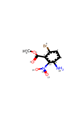 COC(=O)c1c(Br)ccc(N)c1[N+](=O)[O-]